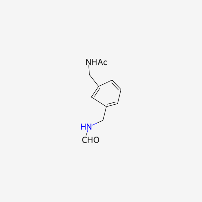 CC(=O)NCc1cccc(CNC=O)c1